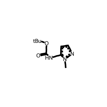 Cn1nccc1NC(=O)OC(C)(C)C